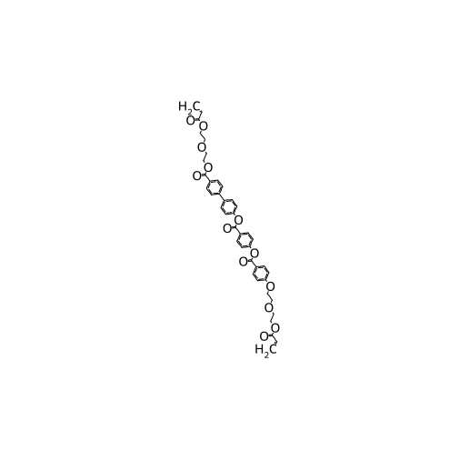 C=CC(=O)OCCOCCOC(=O)c1ccc(-c2ccc(OC(=O)c3ccc(OC(=O)c4ccc(OCCOCCOC(=O)C=C)cc4)cc3)cc2)cc1